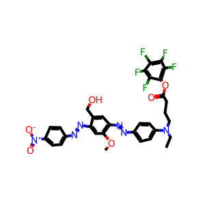 CCN(CCCC(=O)Oc1c(F)c(F)c(F)c(F)c1F)c1ccc(N=Nc2cc(CO)c(N=Nc3ccc([N+](=O)[O-])cc3)cc2OC)cc1